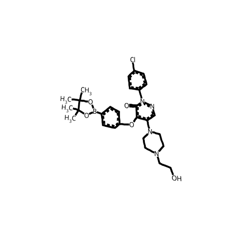 CC1(C)OB(c2ccc(Oc3c(N4CCN(CCO)CC4)cnn(-c4ccc(Cl)cc4)c3=O)cc2)OC1(C)C